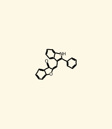 O=C1C(=Cc2c(-c3ccccc3)[nH]c3ccccc23)Oc2ccccc21